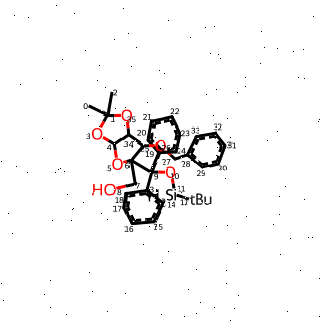 CC1(C)OC2OC(CO)(C(O[SiH2]C(C)(C)C)(c3ccccc3)c3ccccc3)C(OCc3ccccc3)C2O1